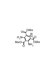 COC(=O)c1c(N)c(C(=O)OC)c(N)c(C(=O)OC)c1N